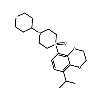 CC(C)c1ccc(P2(=O)CCN(C3CCOCC3)CC2)c2c1OCCO2